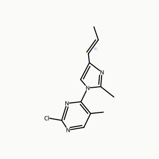 C/C=C/c1cn(-c2nc(Cl)ncc2C)c(C)n1